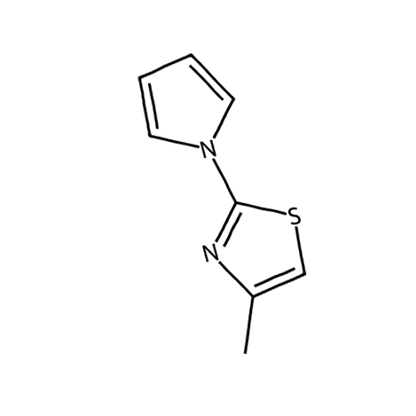 Cc1csc(-n2cccc2)n1